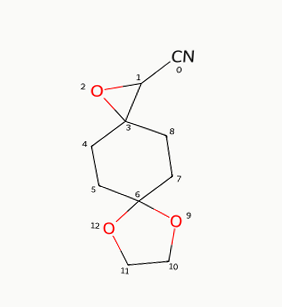 N#CC1OC12CCC1(CC2)OCCO1